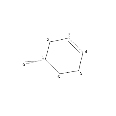 C[C@@H]1CC=CCC1